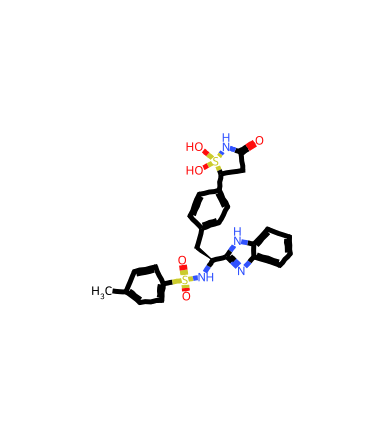 Cc1ccc(S(=O)(=O)N[C@@H](Cc2ccc(C3CC(=O)NS3(O)O)cc2)c2nc3ccccc3[nH]2)cc1